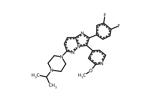 COc1cc(-c2c(-c3ccc(F)c(F)c3)nc3ccc(N4CCN(C(C)C)CC4)nn23)ccn1